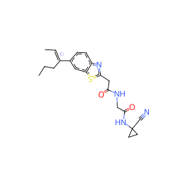 C/C=C(\CCC)c1ccc2nc(CC(=O)NCC(=O)NC3(C#N)CC3)sc2c1